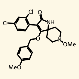 COc1ccc(COC2=C(c3ccc(Cl)cc3Cl)C(=O)NC23CCN(OC)CC3)cc1